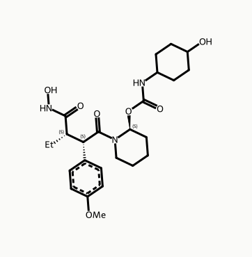 CC[C@H](C(=O)NO)[C@H](C(=O)N1CCCC[C@@H]1OC(=O)NC1CCC(O)CC1)c1ccc(OC)cc1